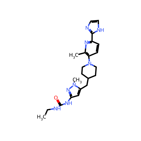 CCNC(=O)Nc1cc(CC2CCN(c3ccc(-c4ncc[nH]4)nc3C)CC2)n(C)n1